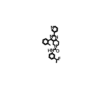 Cc1ccccc1-c1nc(-c2cccnc2)nc2c1CN(C(=O)Nc1cccc(C(C)F)c1)CC2